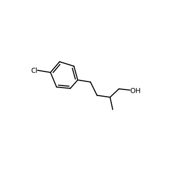 CC(CO)CCc1ccc(Cl)cc1